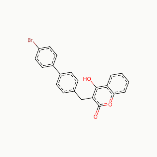 O=c1oc2ccccc2c(O)c1Cc1ccc(-c2ccc(Br)cc2)cc1